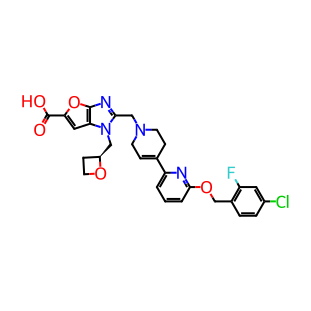 O=C(O)c1cc2c(nc(CN3CC=C(c4cccc(OCc5ccc(Cl)cc5F)n4)CC3)n2C[C@@H]2CCO2)o1